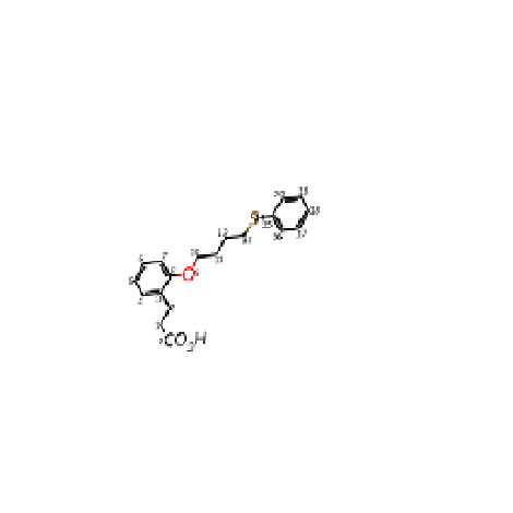 O=C(O)CCc1ccccc1OCCCCSc1ccccc1